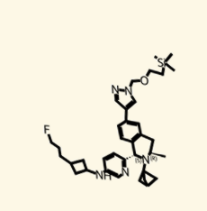 C[C@@H]1Cc2cc(-c3cnn(COCC[Si](C)(C)C)c3)ccc2[C@@H](c2ccc(NC3CC(CCCF)C3)cn2)N1C12CC(C1)C2